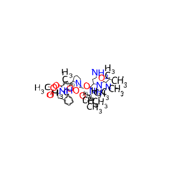 CC[C@H](C)[C@@H]([C@@H](CC(=O)N1CCCC1[C@H](OC)[C@@H](C)C(=O)NC(Cc1ccccc1)C(=O)OC)OC)N(C)C(=O)C(CCN)NC(=O)C(C(C)C)N(C)C